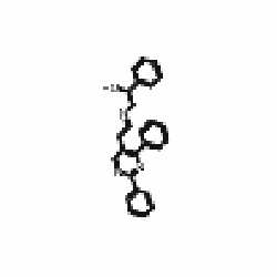 OC(CN=CCc1cnc(-c2ccccc2)nc1-c1ccccc1)c1ccccc1